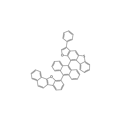 c1ccc(-c2coc3c(-c4c5ccccc5c(-c5cccc6c5oc5c7ccccc7ccc65)c5ccccc45)c4c(cc23)sc2ccccc24)cc1